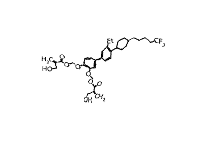 C=C(CO)C(=O)OCOc1ccc(-c2ccc(C3CCC(CCCCC(F)(F)F)CC3)c(CC)c2)cc1OCOC(=O)C(=C)CO